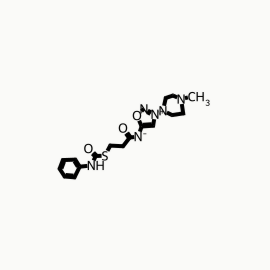 CN1CCN([n+]2cc([N-]C(=O)CCSC(=O)Nc3ccccc3)on2)CC1